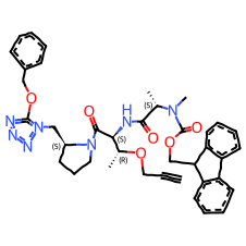 C#CCO[C@H](C)[C@H](NC(=O)[C@H](C)N(C)C(=O)OCC1c2ccccc2-c2ccccc21)C(=O)N1CCC[C@H]1Cn1nnnc1OCc1ccccc1